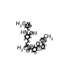 Cc1cc(CNc2ccc(CC[C@H](C)NC(=O)c3cccc(C(=O)N4CCC[C@@H]4c4nc(C)cs4)c3)cc2O)on1